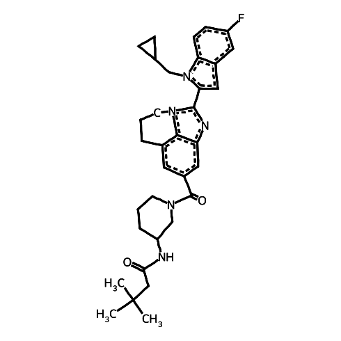 CC(C)(C)CC(=O)NC1CCCN(C(=O)c2cc3c4c(c2)nc(-c2cc5cc(F)ccc5n2CC2CC2)n4CCC3)C1